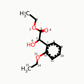 CCOC(=O)C(O)c1ccccc1OCC